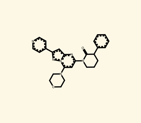 O=C1C(c2ccccc2)CCCN1c1cc(N2CCOCC2)n2nc(-c3ccncc3)cc2n1